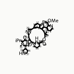 CCn1c(-c2cccnc2[C@H](C)OC)c2c3cc(ccc31)-c1csc(n1)C[C@H](NC(=O)C(C(C)C)N(C)C(=O)[C@H]1CCNC1)C(=O)N1CCC[C@H](N1)C(=O)OCC(C)(C)C2